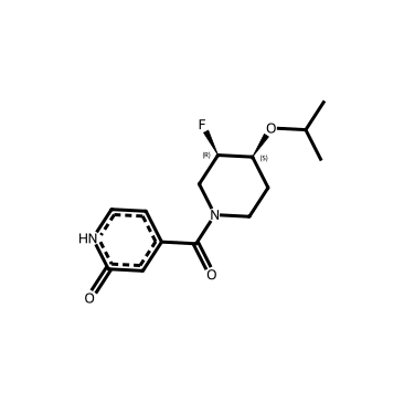 CC(C)O[C@H]1CCN(C(=O)c2cc[nH]c(=O)c2)C[C@H]1F